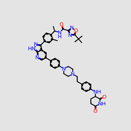 Cc1cc(-c2n[nH]c3ncc(-c4ccc(N5CCN(CCc6ccc(NC7CCC(=O)NC7=O)cc6)CC5)cc4)cc23)ccc1C(C)NC(=O)c1noc(C(C)(C)C)n1